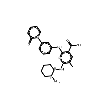 NC(=O)c1cc(F)c(N[C@@H]2CCCC[C@@H]2N)nc1Nc1cncc(-n2ccccc2=O)c1